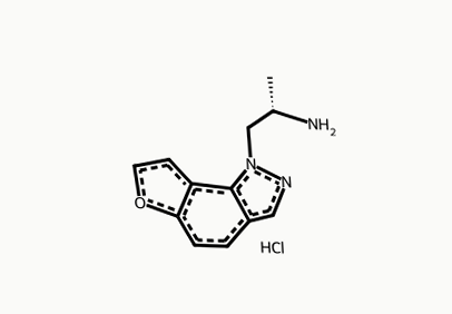 C[C@H](N)Cn1ncc2ccc3occc3c21.Cl